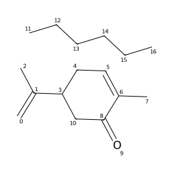 C=C(C)C1CC=C(C)C(=O)C1.CCCCCC